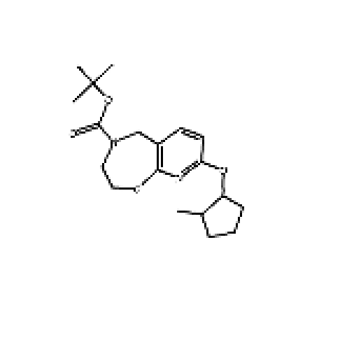 CC1CCCC1Oc1ccc2c(n1)OCCN(C(=O)OC(C)(C)C)C2